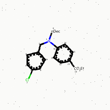 CCCCCCCCCCN(Cc1ccc(Cl)cc1)c1ccc(C(=O)OCC)cc1